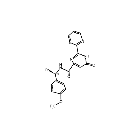 CC(C)[C@@H](NC(=O)c1cc(=O)[nH]c(-c2ncccn2)n1)c1ccc(OC(F)(F)F)cc1